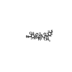 Cc1cc(C(=O)N[C@H]2CC([C@H](C)C(=O)Nc3ccc(F)cc3)C3CC2C3)ccc1C#N